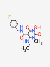 CCNc1c(C(=O)NCc2ccc(F)cc2)c(=O)n(O)c(=O)n1C